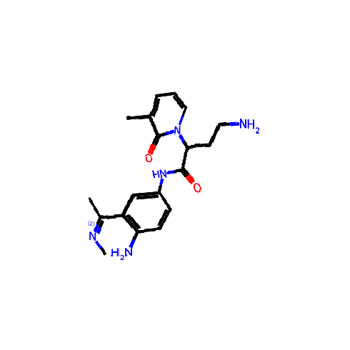 C/N=C(/C)c1cc(NC(=O)C(CCN)n2cccc(C)c2=O)ccc1N